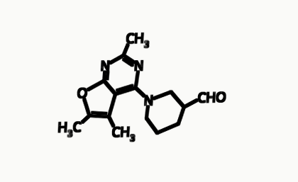 Cc1nc(N2CCCC(C=O)C2)c2c(C)c(C)oc2n1